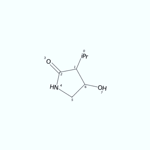 CC(C)C1C(=O)NCC1O